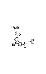 CCN(CC)CCOC(=O)c1ccc2c(c1)c1cc(C(=O)OCCN(CC)CC)ccc1n2CC